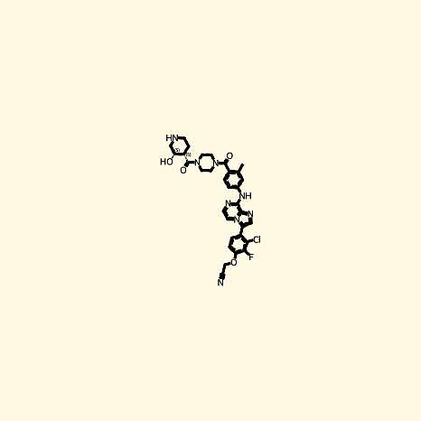 Cc1cc(Nc2nccn3c(-c4ccc(OCC#N)c(F)c4Cl)cnc23)ccc1C(=O)N1CCN(C(=O)[C@H]2CCNC[C@H]2O)CC1